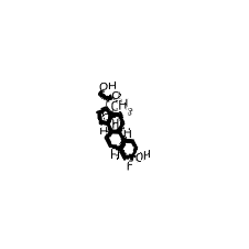 C[C@]12CC[C@H]3[C@@H](CC[C@H]4C[C@@](O)(F)CC[C@@H]43)[C@@H]1CC[C@@H]2C(=O)CO